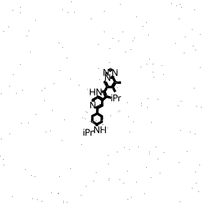 Cc1c(-c2[nH]c3cnc(C4CCC(NC(C)C)CC4)cc3c2C(C)C)cn2ncnc2c1C